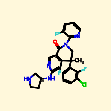 CC1(c2cccc(Cl)c2F)CN(c2ncccc2F)C(=O)c2cnc(N[C@@H]3CCNC3)c(F)c21